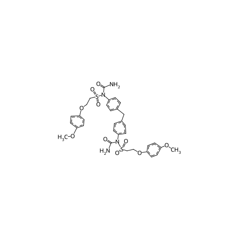 COc1ccc(OCCS(=O)(=O)N(C(N)=O)c2ccc(Cc3ccc(N(C(N)=O)S(=O)(=O)CCOc4ccc(OC)cc4)cc3)cc2)cc1